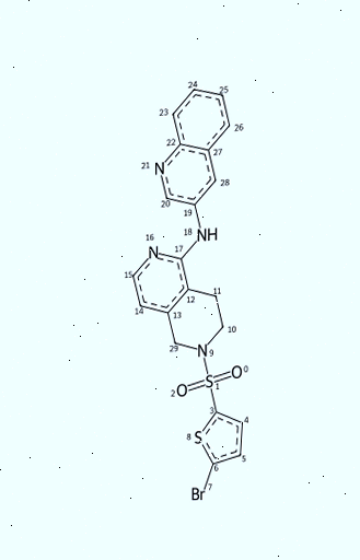 O=S(=O)(c1ccc(Br)s1)N1CCc2c(ccnc2Nc2cnc3ccccc3c2)C1